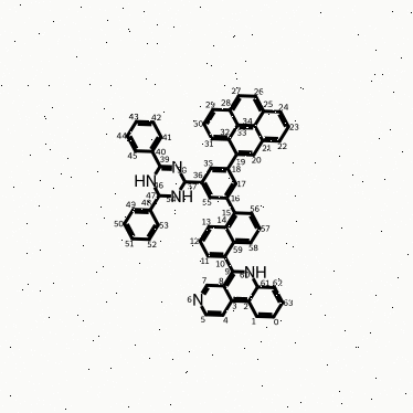 C1=CC2=c3ccncc3=C(c3cccc4c(-c5cc(-c6cc7cccc8ccc9cccc6c9c87)cc(C6N=C(c7ccccc7)NC(c7ccccc7)N6)c5)cccc34)NC2C=C1